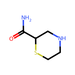 NC(=O)[C]1CNCCS1